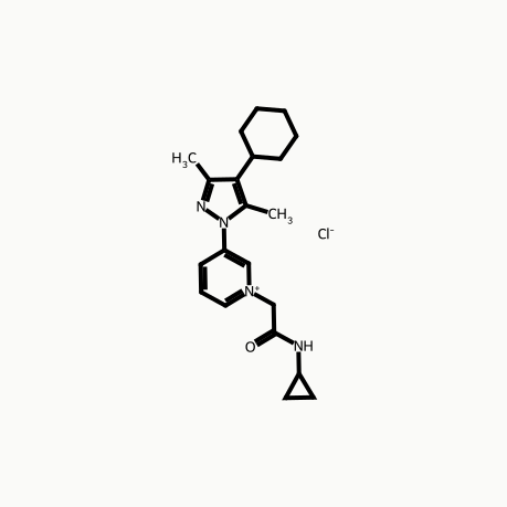 Cc1nn(-c2ccc[n+](CC(=O)NC3CC3)c2)c(C)c1C1CCCCC1.[Cl-]